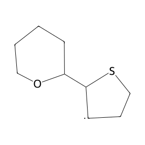 [CH]1CCSC1C1CCCCO1